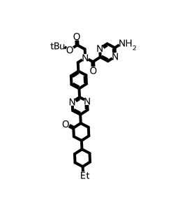 CCC1CCC(C2CCC(c3cnc(-c4ccc(CN(CC(=O)OC(C)(C)C)C(=O)c5cnc(N)cn5)cc4)nc3)C(=O)C2)CC1